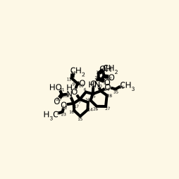 C=CC(=O)OC1(CC2(OC(=O)C=C)CCCCC2(NC(=O)O)OCC)CCCCC1(NC(=O)O)OCC